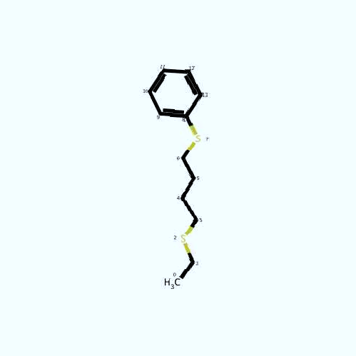 CCSCCCCSc1ccccc1